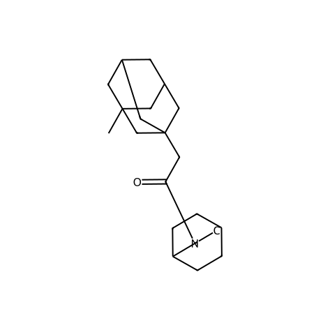 CC12CC3CC(C1)CC(CC(=O)N1CC4CCC(CC4)C1)(C3)C2